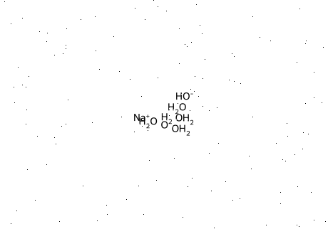 O.O.O.O.O.[Na+].[OH-]